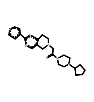 O=C(CN1CCc2nc(-c3ccncc3)ncc2C1)N1CCN(C2CCCC2)CC1